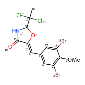 COc1c(Br)cc(/C=C2\OC(C(C)(Cl)Cl)NC2=O)cc1Br